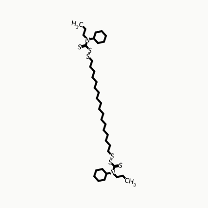 CCCN(C(=S)SSCCCCCCCCCCCCCCCCCCSSC(=S)N(CCC)C1CCCCC1)C1CCCCC1